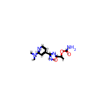 CC(OC(N)=O)c1nc(-c2ccnc(N(C)C)c2)no1